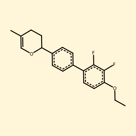 CCOc1ccc(-c2ccc(C3CCC(C)=CO3)cc2)c(F)c1F